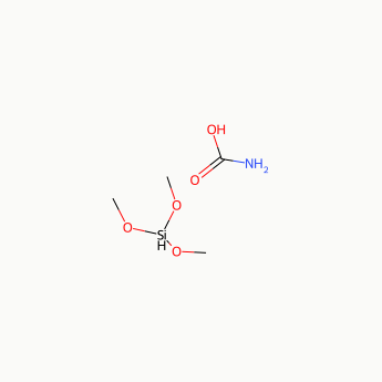 CO[SiH](OC)OC.NC(=O)O